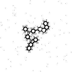 C1=CC2=c3c(ccc4ccccc34)=CCC2C=C1c1ccc(N(c2ccccc2)c2cccc(-n3c4ccccc4c4cc5ccccc5cc43)c2)cc1